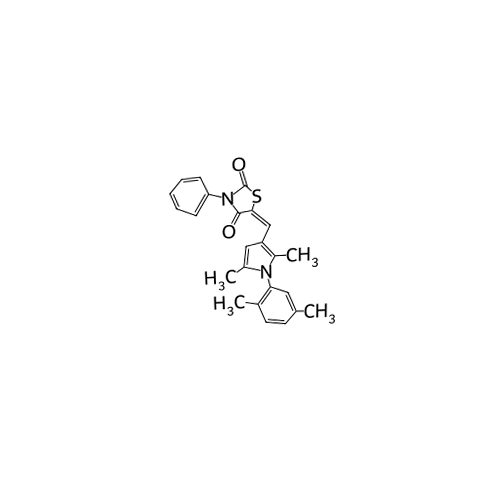 Cc1ccc(C)c(-n2c(C)cc(C=C3SC(=O)N(c4ccccc4)C3=O)c2C)c1